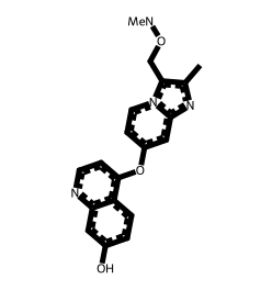 CNOCc1c(C)nc2cc(Oc3ccnc4cc(O)ccc34)ccn12